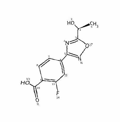 C[C@H](O)c1nc(-c2ccc(C(=O)O)c(F)c2)no1